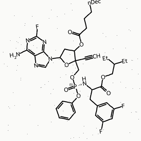 C#CC1(CO[P@@](=O)(NC(Cc2cc(F)cc(F)c2)C(=O)OCC(CC)CC)Oc2ccccc2)OC(n2cnc3c(N)nc(F)nc32)CC1OC(=O)CCCCCCCCCCCCC